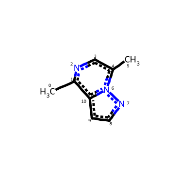 Cc1ncc(C)n2nccc12